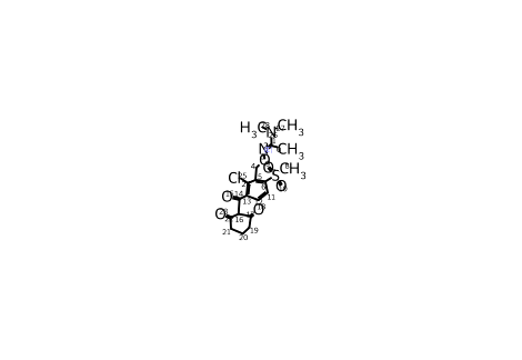 C/C(=N\OCc1c(S(C)(=O)=O)ccc(C(=O)C2C(=O)CCCC2=O)c1Cl)N(C)C